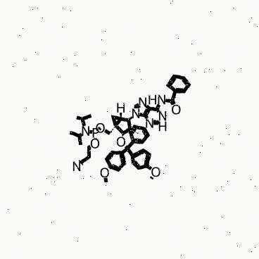 COc1ccc(C(O[C@H]2[C@@H](C)[C@H](n3cnc4c3N=CNC4NC(=O)c3ccccc3)[C@H]3C[C@@]32COP(OCCC#N)N(C(C)C)C(C)C)(c2ccccc2)c2ccc(OC)cc2)cc1